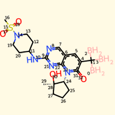 BC(B)(B)c1cc2cnc(NC3CCN(S(C)(=O)=O)CC3)nc2n([C@@H]2CCC[C@@]2(C)O)c1=O